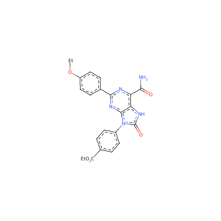 CCOC(=O)c1ccc(-n2c(=O)[nH]c3c(C(N)=O)nc(-c4ccc(OCC)cc4)nc32)cc1